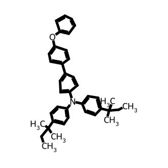 CCC(C)(C)c1ccc(N(c2ccc(-c3ccc(Oc4ccccc4)cc3)cc2)c2ccc(C(C)(C)CC)cc2)cc1